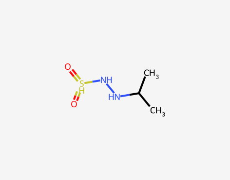 CC(C)NN[SH](=O)=O